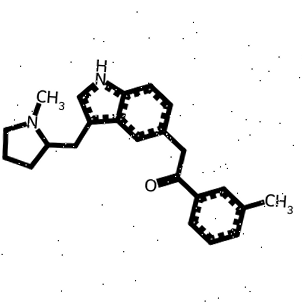 Cc1cccc(C(=O)Cc2ccc3[nH]cc(CC4CCCN4C)c3c2)c1